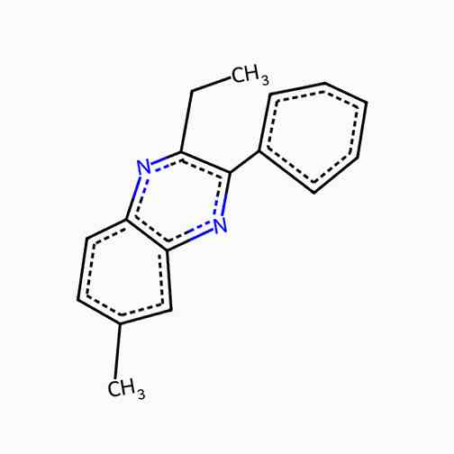 CCc1nc2ccc(C)cc2nc1-c1ccccc1